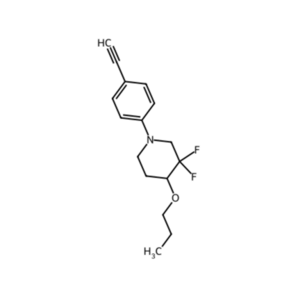 C#Cc1ccc(N2CCC(OCCC)C(F)(F)C2)cc1